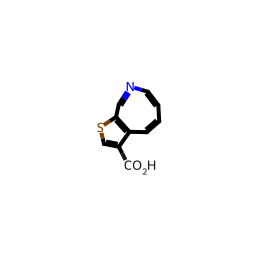 O=C(O)c1csc2c1\C=C/C=C\N=C/2